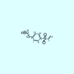 C=CS(=O)(=O)c1ccc(SCCCC)cc1